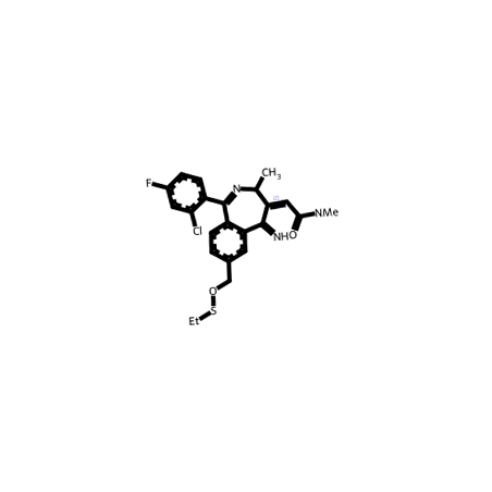 CCSOCc1ccc2c(c1)C(=N)/C(=C\C(=O)NC)C(C)N=C2c1ccc(F)cc1Cl